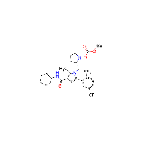 Cc1c(C(=O)NC2CCCCC2)cc(-c2cc(C(F)(F)F)ccc2C(F)(F)F)n1C[C@@H]1CCCN1OC(=O)OC(C)(C)C